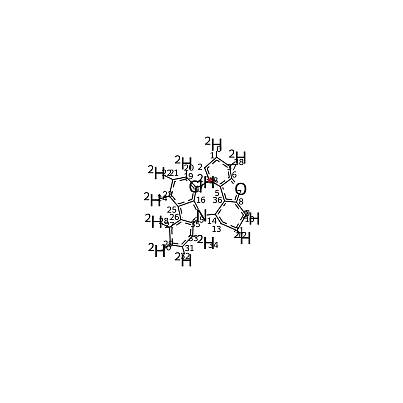 [2H]c1cc(Cl)c2c(oc3c([2H])c([2H])cc(-n4c5c([2H])c([2H])c([2H])c([2H])c5c5c([2H])c([2H])c([2H])c([2H])c54)c32)c1[2H]